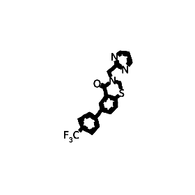 O=C1c2cc(-c3ccc(C(F)(F)F)cc3)ccc2SCN1Cc1ncccn1